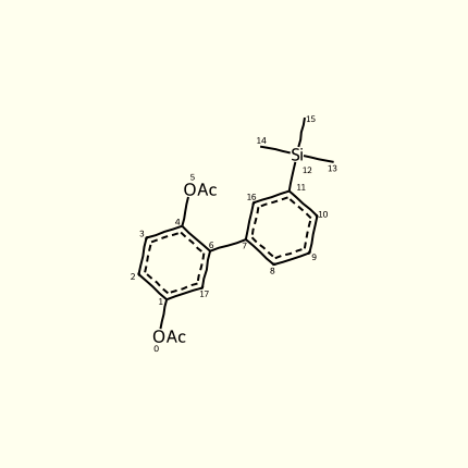 CC(=O)Oc1ccc(OC(C)=O)c(-c2cccc([Si](C)(C)C)c2)c1